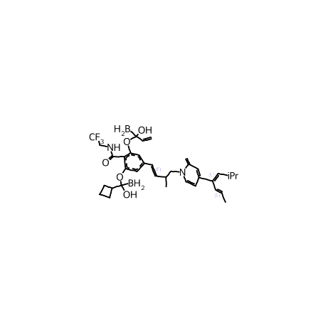 BC(O)(C=C)Oc1cc(/C=C/C(C)CN2C=CC(C(/C=C/C)=C/C(C)C)=CC2=C)cc(OC(B)(O)C2CCC2)c1C(=O)NCC(F)(F)F